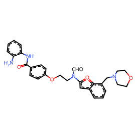 Nc1ccccc1NC(=O)c1ccc(OCCN(C=O)c2cc3cccc(CN4CCOCC4)c3o2)cc1